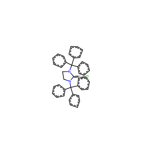 [Cl][Cu]=[C]1N(C(c2ccccc2)(c2ccccc2)c2ccccc2)CCN1C(c1ccccc1)(c1ccccc1)c1ccccc1